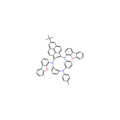 Cc1ccc(N2c3cccc(c3)N(c3cccc4c3oc3ccccc34)c3cc(c4ccc5cc(C(C)(C)C)cc6ccc3c4c65)N(c3cccc4c3oc3ccccc34)c3cccc2c3)cc1